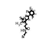 Cn1c(CCC(=O)NCC#N)c2n(c1=S)C[C@@H](c1c(F)ccc(F)c1F)C2